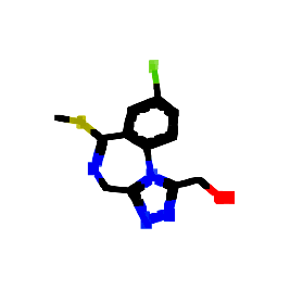 CSC1=NCc2nnc(CO)n2-c2ccc(F)cc21